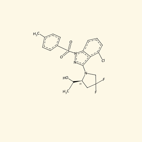 Cc1ccc(S(=O)(=O)n2nc(N3CC(F)(F)C[C@H]3C(C)O)c3c(Cl)cccc32)cc1